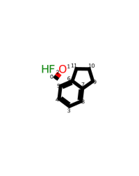 C=O.F.c1ccc2c(c1)CCC2